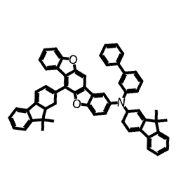 CC1(C)C2=CC(N(c3cccc(-c4ccccc4)c3)c3ccc4oc5c(C6=CC=C7c8ccccc8C(C)(C)C7C6)c6c(cc5c4c3)oc3ccccc36)CC=C2c2ccccc21